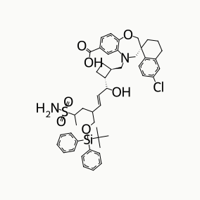 CC(CC(/C=C/C(O)[C@@H]1CC[C@H]1CN1C[C@@]2(CCCc3cc(Cl)ccc32)COc2ccc(C(=O)O)cc21)CO[Si](c1ccccc1)(c1ccccc1)C(C)(C)C)S(N)(=O)=O